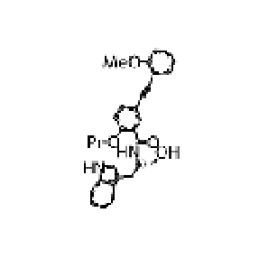 COc1ccccc1C#Cc1ccc(OC(C)C)c(C(=O)N[C@H](CO)Cc2c[nH]c3ccccc23)c1